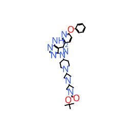 CC(C)(C)OC(=O)N1CC(N2CC(N3CCC(n4nc(-c5ccc(Oc6ccccc6)nc5)c5c(N)ncnc54)CC3)C2)C1